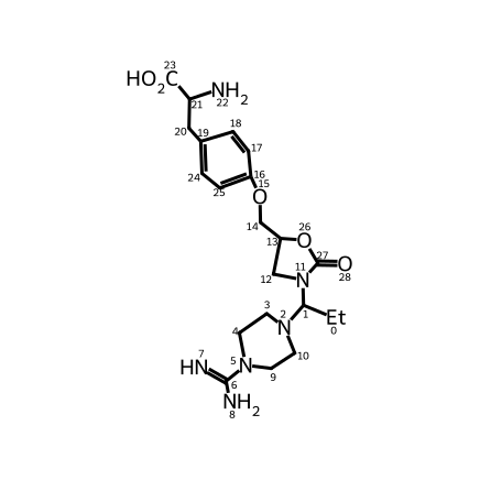 CCC(N1CCN(C(=N)N)CC1)N1CC(COc2ccc(CC(N)C(=O)O)cc2)OC1=O